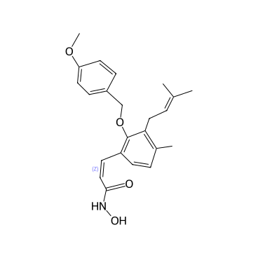 COc1ccc(COc2c(/C=C\C(=O)NO)ccc(C)c2CC=C(C)C)cc1